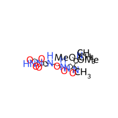 COc1cc(-c2cn(C)c(=O)c3c2CCN(C(=O)NCCOCCNc2ccc4c(c2)C(=O)N(C2CCC(=O)NC2=O)C4=O)C3)cc(OC)c1CN(C)C